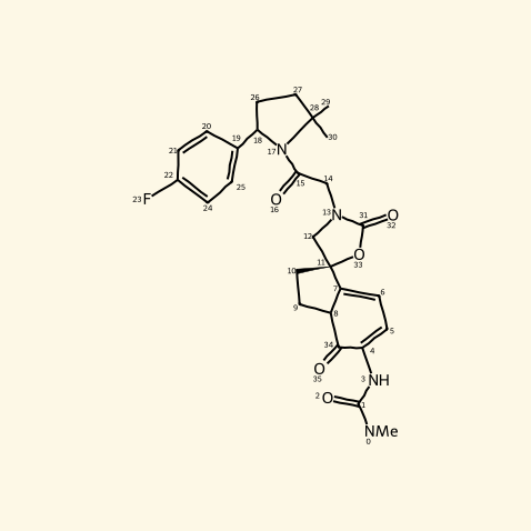 CNC(=O)NC1=CC=C2C(CC[C@]23CN(CC(=O)N2C(c4ccc(F)cc4)CCC2(C)C)C(=O)O3)C1=O